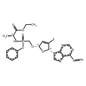 CCOC(=O)[C@H](C)NP(=O)(CO[C@@H]1C=C(F)[C@H](n2cnc3c(N=P)ncnc32)O1)Oc1ccccc1